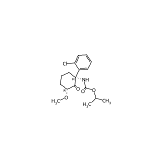 CO[C@@H]1CCC[C@@](NC(=O)OC(C)C)(c2ccccc2Cl)C1=O